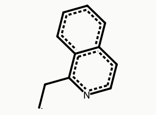 [CH2]Cc1nccc2ccccc12